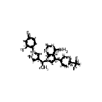 CC(c1cnn(-c2ccc(F)cc2F)c1)n1cc(-c2cnc(C(F)(F)F)nc2)c2c(N)ncnc21